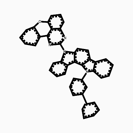 c1ccc(-c2cccc(-n3c4ccccc4c4ccc5c(c6ccccc6n5-c5nc6c7c(cccc7n5)Oc5ccccc5-6)c43)c2)cc1